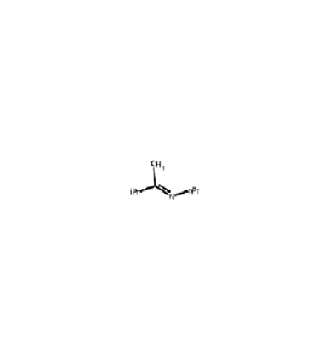 CCCN=C(C)C(C)C